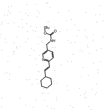 CC(C)(C)OC(=O)NCc1ccc(C=CC2CCCCC2)nc1